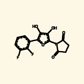 O=C1CCC(=O)N1c1oc(-c2cccc(F)c2F)c(O)c1O